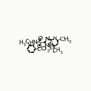 CCOC(=O)c1cccc(C)c1NS(=O)(=O)c1nc2nc(C)cc(C)n2n1